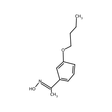 CCCCOc1cccc(/C(C)=N/O)c1